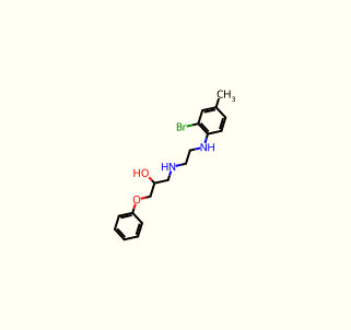 Cc1ccc(NCCNCC(O)COc2ccccc2)c(Br)c1